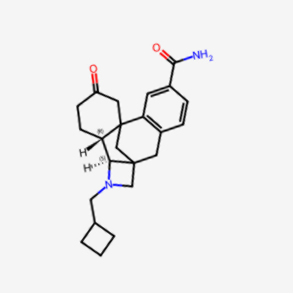 NC(=O)c1ccc2c(c1)C13CC(=O)CC[C@H]1[C@@H]1N(CC4CCC4)CC1(C2)C3